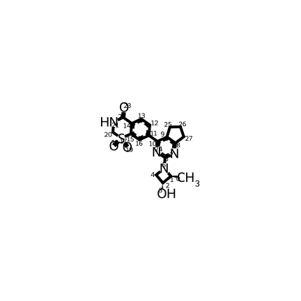 C[C@H]1[C@H](O)CN1c1nc2c(c(-c3ccc4c(c3)S(=O)(=O)CNC4=O)n1)CCC2